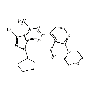 CCOc1c(-c2nc(N)c3c(CC)nn(C4CCCC4)c3n2)ccnc1N1CCOCC1